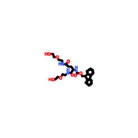 O=C(CCC(NC(=O)OCC1c2ccccc2-c2ccccc21)C(=O)NCCOCCO)NCCOCCO